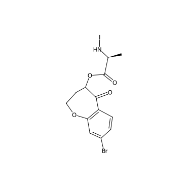 C[C@H](NI)C(=O)OC1CCOc2cc(Br)ccc2C1=O